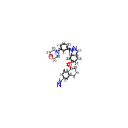 N#Cc1ccc2c(c1)CCCC2Oc1ccc2cnn(-c3cccc(N4CCOCC4)c3)c2c1